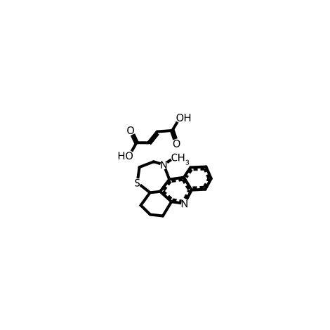 CN1CCSC2CCCc3nc4ccccc4c1c32.O=C(O)C=CC(=O)O